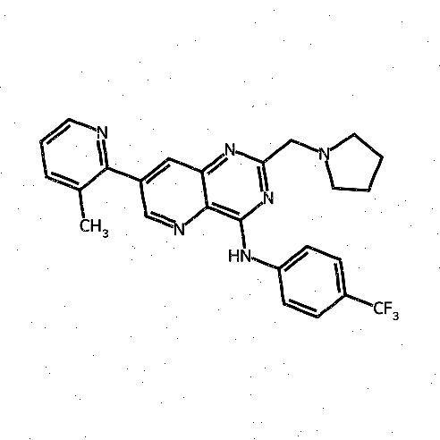 Cc1cccnc1-c1cnc2c(Nc3ccc(C(F)(F)F)cc3)nc(CN3CCCC3)nc2c1